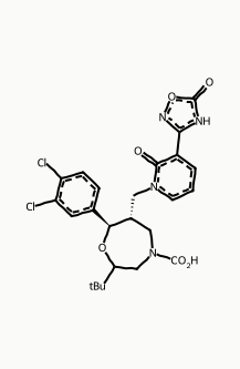 CC(C)(C)C1CN(C(=O)O)C[C@@H](Cn2cccc(-c3noc(=O)[nH]3)c2=O)[C@H](c2ccc(Cl)c(Cl)c2)O1